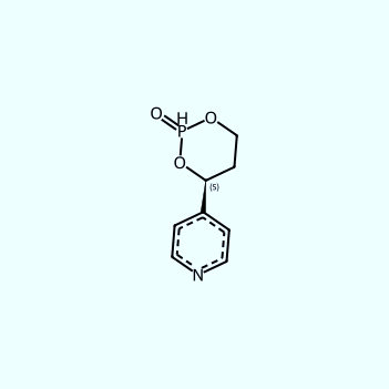 O=[PH]1OCC[C@@H](c2ccncc2)O1